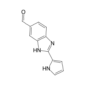 O=Cc1ccc2nc(-c3ccc[nH]3)[nH]c2c1